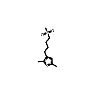 Cc1cc(CCCCS(C)(=O)=O)c(C)s1